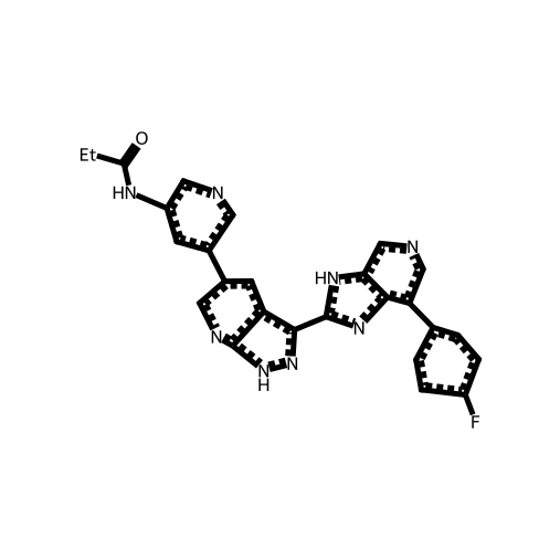 CCC(=O)Nc1cncc(-c2cnc3[nH]nc(-c4nc5c(-c6ccc(F)cc6)cncc5[nH]4)c3c2)c1